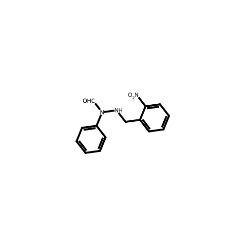 O=CN(NCc1ccccc1[N+](=O)[O-])c1ccccc1